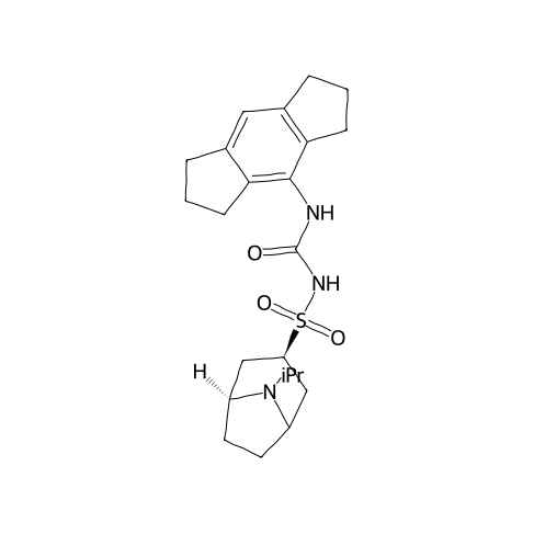 CC(C)N1C2CC[C@H]1C[C@@H](S(=O)(=O)NC(=O)Nc1c3c(cc4c1CCC4)CCC3)C2